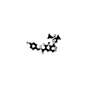 Cn1c(=O)c(C(=O)NCc2ccc(Br)cc2)cc2cnnc(OCC3(S(=O)(=O)C4CC4)CC3)c21